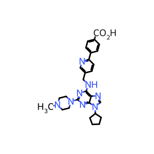 CN1CCN(c2nc(NCc3ccc(-c4ccc(C(=O)O)cc4)nc3)c3ncn(C4CCCC4)c3n2)CC1